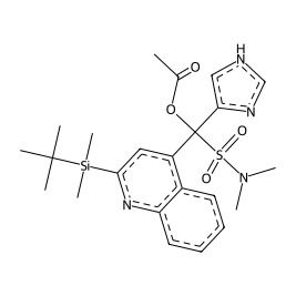 CC(=O)OC(c1c[nH]cn1)(c1cc([Si](C)(C)C(C)(C)C)nc2ccccc12)S(=O)(=O)N(C)C